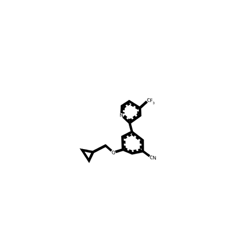 N#Cc1cc(OCC2CC2)cc(-c2cc(C(F)(F)F)ccn2)c1